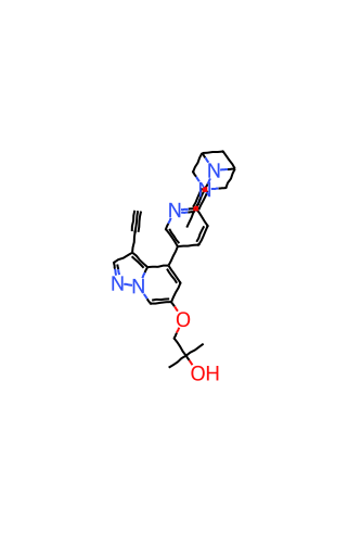 C#Cc1cnn2cc(OCC(C)(C)O)cc(-c3ccc(N4CC5CC(C4)N5C#CC)nc3)c12